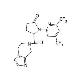 O=C(C1CCC(=O)N1c1cc(C(F)(F)F)cc(C(F)(F)F)n1)N1CCn2ccnc2C1